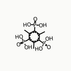 Cc1c(P(=O)(O)O)c(C)c(P(=O)(O)O)c(C)c1P(=O)(O)O